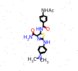 CC(=O)Nc1ccc(C(=O)NC2SC(Nc3ccc(N(C)C)cc3)=NC2C(N)=O)cc1